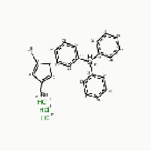 CCC(C)C1=CC[C]([Ti])=C1.Cl.Cl.Cl.c1ccc([SiH](c2ccccc2)c2ccccc2)cc1